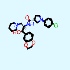 O=C(N[C@H](CN1CCCCC1)[C@H](O)c1ccc2c(c1)OCCO2)[C@@H]1CCN(c2ccc(Cl)cc2)C1